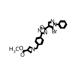 COC(=O)C1CN(Cc2ccc(-c3noc(-c4cnn(-c5ccccc5)c4Br)n3)cc2)C1